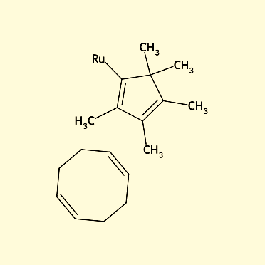 C1=CCCC=CCC1.CC1=C(C)C(C)(C)[C]([Ru])=C1C